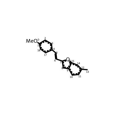 COc1ccc(/C=C/c2cc3ccc(C)cc3o2)cc1